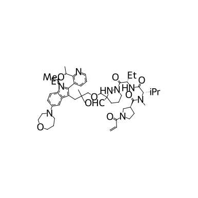 C=CC(=O)N1CC[C@H](C(=O)N(C)[C@H](C(=O)N[C@@H](CC)C(=O)N2CCCC(C=O)(COCC(C)(C)Cc3c(-c4cccnc4[C@H](C)OC)n(CC)c4ccc(N5CCCOCC5)cc34)N2)C(C)C)C1